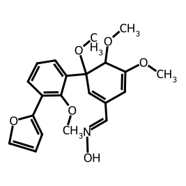 COC1=CC(C=NO)=CC(OC)(c2cccc(-c3ccco3)c2OC)C1OC